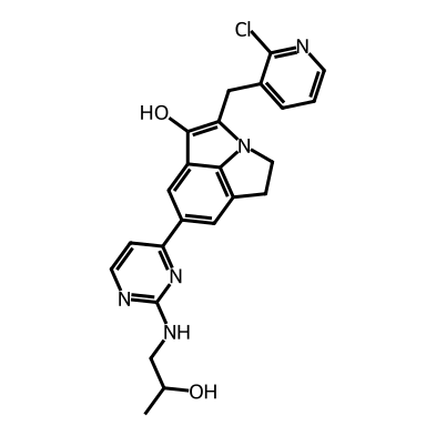 CC(O)CNc1nccc(-c2cc3c4c(c2)c(O)c(Cc2cccnc2Cl)n4CC3)n1